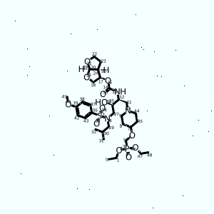 CCOP(=O)(COC1CCN(C[C@H](NC(=O)O[C@H]2CO[C@H]3OCC[C@H]32)[C@H](O)CN(CC(C)C)S(=O)(=O)c2ccc(OC)cc2)CC1)OCC